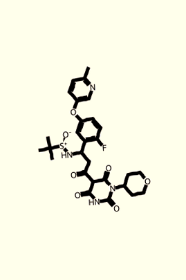 Cc1ccc(Oc2ccc(F)c(C(CC(=O)C3C(=O)NC(=O)N(C4CCOCC4)C3=O)N[S@@+]([O-])C(C)(C)C)c2)cn1